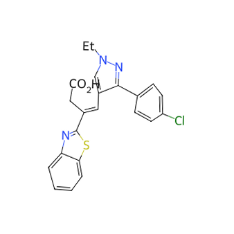 CCn1cc(/C=C(\CC(=O)O)c2nc3ccccc3s2)c(-c2ccc(Cl)cc2)n1